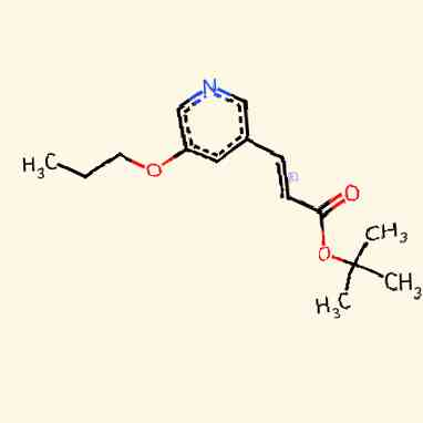 CCCOc1cncc(/C=C/C(=O)OC(C)(C)C)c1